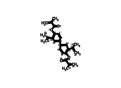 C=C(C)C(=O)Oc1ccc(-c2ccc(OC(=O)C(=C)C)c(C(=C)C)c2)cc1C(=C)C